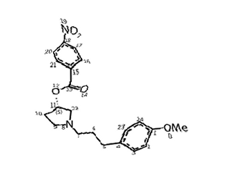 COc1ccc(CCCN2CC[C@H](OC(=O)c3ccc([N+](=O)[O-])cc3)C2)cc1